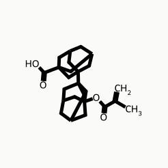 C=C(C)C(=O)OC12CC3CC(C1)CC(C14CC5CC(CC(C(=O)O)(C5)C1)C4)(C3)C2